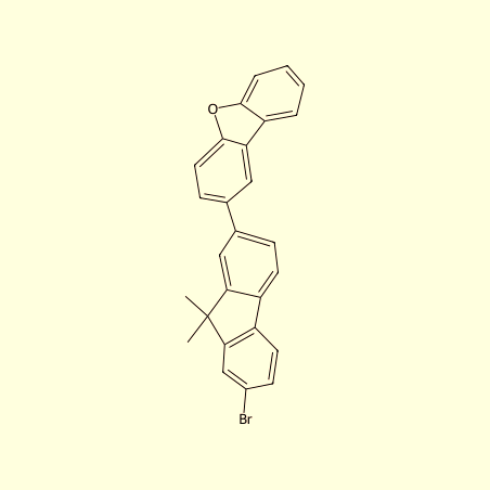 CC1(C)c2cc(Br)ccc2-c2ccc(-c3ccc4oc5ccccc5c4c3)cc21